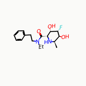 CCN(CCc1ccccc1)C(=O)[C@H]1N[C@H](C)[C@H](O)[C@@H](F)[C@H]1O